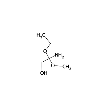 CCOC(N)(CO)OC